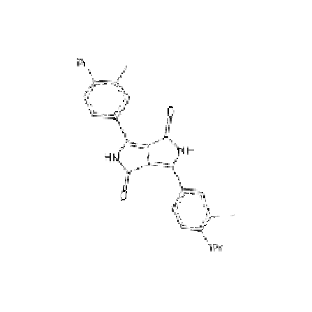 Cc1cc(C2=C3C(=O)NC(c4ccc(C(C)C)c(C)c4)=C3C(=O)N2)ccc1C(C)C